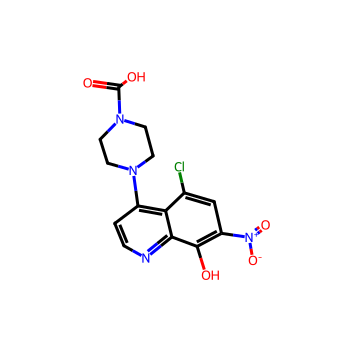 O=C(O)N1CCN(c2ccnc3c(O)c([N+](=O)[O-])cc(Cl)c23)CC1